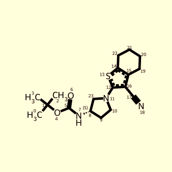 CC(C)(C)OC(=O)N[C@H]1CCN(c2sc3c(c2C#N)CCCC3)C1